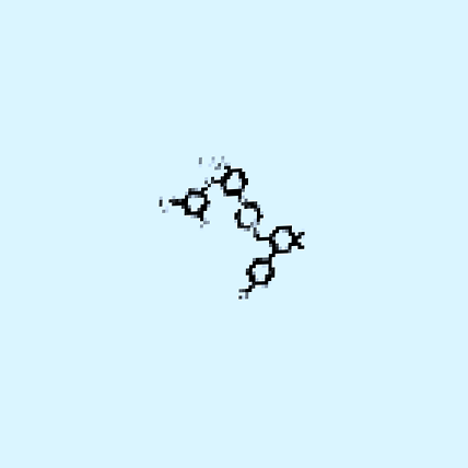 CC1(C)CCC(CN2CCN(c3ccc(C(=O)O)c(Oc4cc(N)cc(Cl)c4)c3)CC2)=C(c2ccc(Cl)cc2)C1